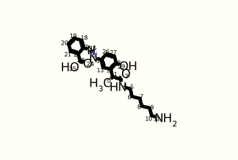 CC(C(=O)NCCCCCCN)c1cc(/N=N/c2ccccc2C(=O)O)ccc1O